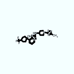 Cc1nsc(N2CCC(Nc3nc4c(C5(O)CCC(C(F)(F)F)CC5)cccn4n3)CC2)n1